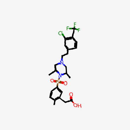 Cc1ccc(S(=O)(=O)N2C(C)CN(CCc3ccc(C(F)(F)F)c(Cl)c3)CC2C)cc1CC(=O)O